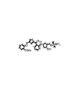 COc1ccccc1OCc1csc(C(=O)c2cncnc2N[C@@H]2CC(COS(N)(=O)=O)[C@@H](O)C2)c1